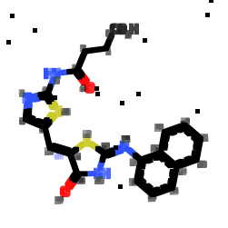 O=C(O)CCC(=O)Nc1ncc(/C=C2\SC(=Nc3cccc4ccccc34)NC2=O)s1